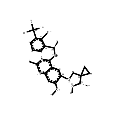 COc1cc2nc(C)nc(N[C@H](C)c3cccc(C(F)(F)F)c3F)c2cc1OCC1([C@H](C)OC)CC1